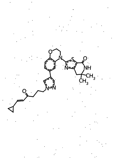 CC1(C)Cc2nc(N3CCOc4ccc(-c5cnn(CCCC(=O)/C=C/C6CC6)c5)cc43)sc2C(=O)N1